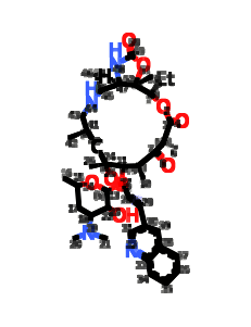 CC[C@H]1OC(=O)[C@H](C)C(=O)[C@@H](C)[C@@H](O[C@@H]2OC(C)CC(N(C)C)C2O)[C@](C)(OC/C=C/c2cnc3ccccc3c2)C[C@@H](C)CN[C@H](C)[C@H]2NC(=O)O[C@@]21C